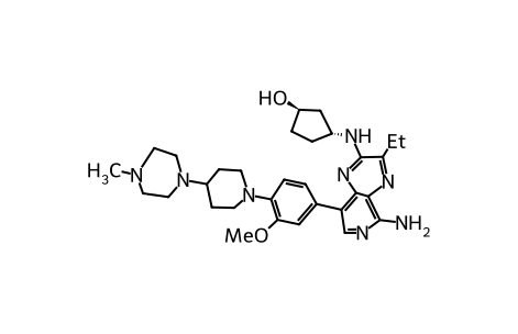 CCc1nc2c(N)ncc(-c3ccc(N4CCC(N5CCN(C)CC5)CC4)c(OC)c3)c2nc1N[C@@H]1CC[C@@H](O)C1